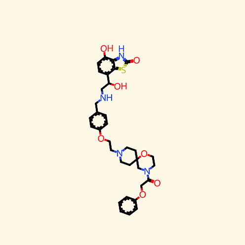 O=C(COc1ccccc1)N1CCOC2(CCN(CCOc3ccc(CNCC(O)c4ccc(O)c5[nH]c(=O)sc45)cc3)CC2)C1